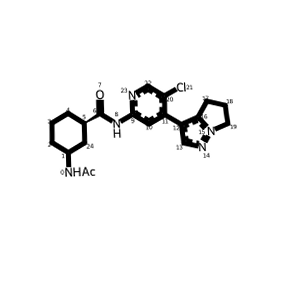 CC(=O)NC1CCC[C@@H](C(=O)Nc2cc(-c3cnn4c3CCC4)c(Cl)cn2)C1